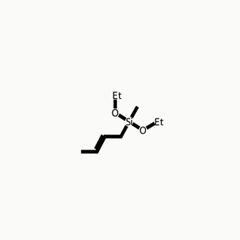 CC=CC[Si](C)(OCC)OCC